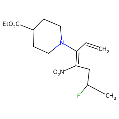 C=C/C(=C(\CC(C)F)[N+](=O)[O-])N1CCC(C(=O)OCC)CC1